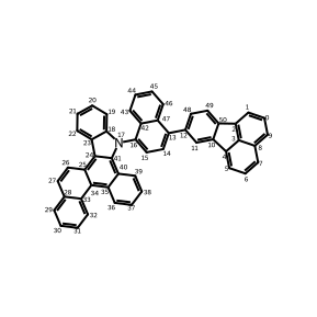 c1cc2c3c(cccc3c1)-c1cc(-c3ccc(-n4c5ccccc5c5c6ccc7ccccc7c6c6ccccc6c54)c4ccccc34)ccc1-2